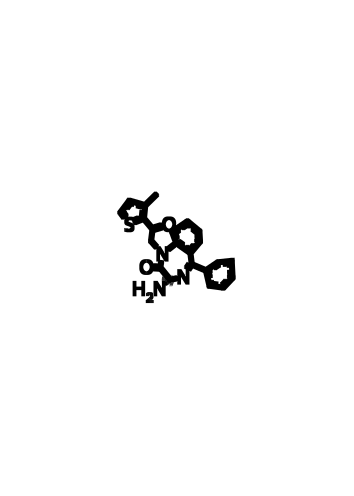 Cc1ccsc1C(=O)CN1C(=O)[C@@H](N)N=C(c2ccccc2)c2ccccc21